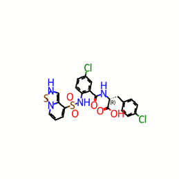 O=C(N[C@H](Cc1ccc(Cl)cc1)C(=O)O)c1cc(Cl)ccc1NS(=O)(=O)C1=CC=CN2SNC=C12